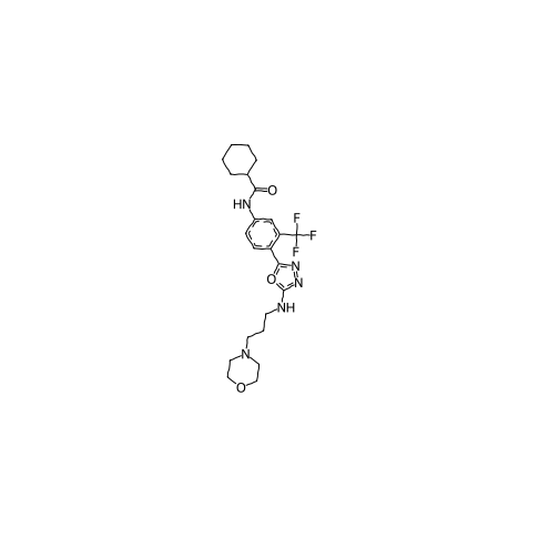 O=C(Nc1ccc(-c2nnc(NCCCN3CCOCC3)o2)c(C(F)(F)F)c1)C1CCCCC1